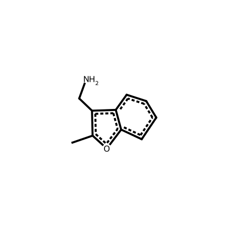 Cc1oc2ccccc2c1CN